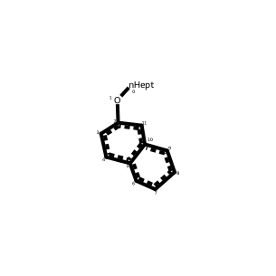 [CH2]CCCCCCOc1ccc2ccccc2c1